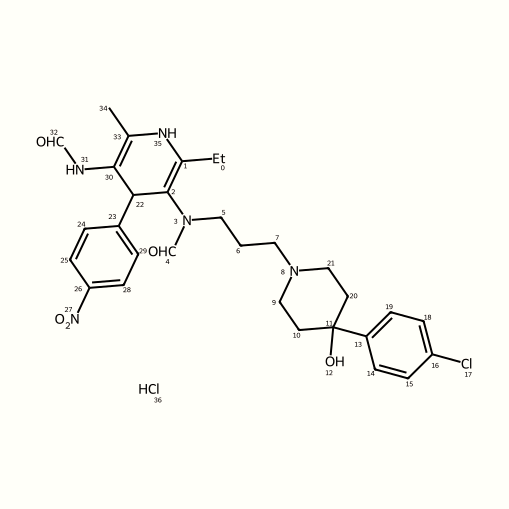 CCC1=C(N(C=O)CCCN2CCC(O)(c3ccc(Cl)cc3)CC2)C(c2ccc([N+](=O)[O-])cc2)C(NC=O)=C(C)N1.Cl